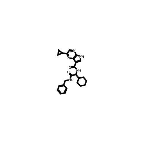 O=C(NC(C(=O)NCc1ccccc1)C1CCCCC1)c1c[nH]c2ncc(C3CC3)nc12